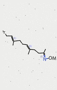 CO/N=C(\C)CC/C(C)=C/CC/C(C)=C/CC(C)C